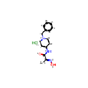 CC(=O)C(=NO)C(=O)NC1CCN(Cc2ccccc2)CC1.Cl